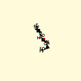 O=C(COC1CC(OC(F)(F)F)C1)NC12CC(c3nnc([C@H]4C[C@H]4COC(F)(F)F)o3)(C1)C2